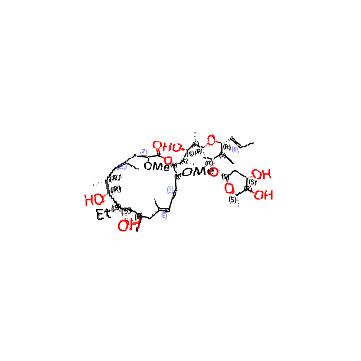 C/C=C/[C@H]1O[C@@H]([C@@H](C)[C@H](O)[C@H](C)[C@H]2OC(=O)/C(OC)=C/C(C)=C/[C@@H](C)[C@@H](O)[C@@H](CC)[C@@H](O)[C@H](C)C/C(C)=C/C=C/[C@@H]2OC)C[C@@H](O[C@@H]2C[C@H](O)[C@@H](O)[C@H](C)O2)[C@@H]1C